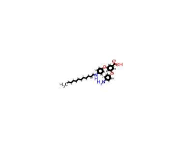 CCCCCCCCCCCCNc1ccc(Oc2cc(Oc3ccc(N)cc3)cc(C(=O)O)c2)cc1